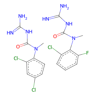 CN(C(=O)NC(=N)N)c1c(F)cccc1Cl.CN(C(=O)NC(=N)N)c1ccc(Cl)cc1Cl